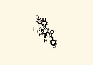 Cn1c(N2CCCC3(CCC(=O)N3)C2)nc(C(=O)NCc2ccc(F)cc2)c(O)c1=O